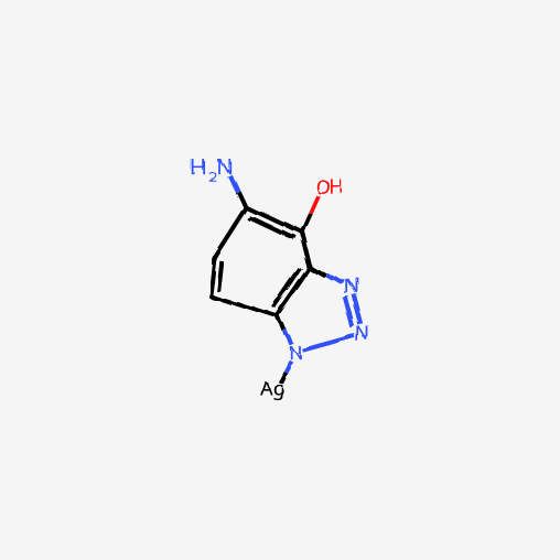 Nc1ccc2c(nn[n]2[Ag])c1O